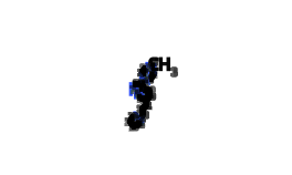 CN1CCN(c2cnn3cc(CCCN4CCCC4)ccc23)CC1